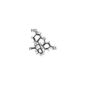 CCc1ccc2c(c1)Oc1cc(O)ccc1C21OC(=O)c2ccccc21